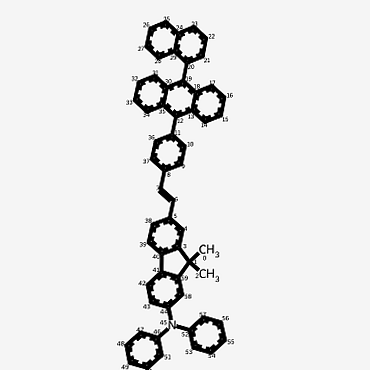 CC1(C)c2cc(/C=C/c3ccc(-c4c5ccccc5c(-c5cccc6ccccc56)c5ccccc45)cc3)ccc2-c2ccc(N(c3ccccc3)c3ccccc3)cc21